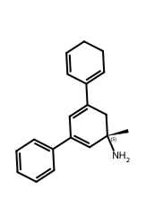 C[C@@]1(N)C=C(c2ccccc2)C=C(C2=CCCC=C2)C1